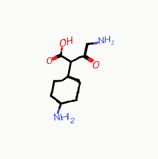 NCC(=O)C(C(=O)O)C1CCC(N)CC1